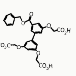 O=C(O)COc1cc(OCC(=O)O)cc(-c2cc(OCC(=O)O)cc(C(=O)OCc3ccccc3)c2)c1